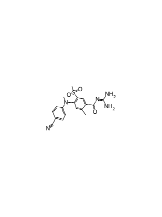 Cc1cc(N(C)c2ccc(C#N)cc2)c(S(C)(=O)=O)cc1C(=O)N=C(N)N